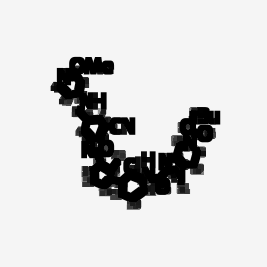 COc1cc(NCc2cc(C#N)c3oc(-c4cccc(-c5cccc(NC(=O)c6nc7c(n6C)CCN(C(=O)OC(C)(C)C)C7)c5Cl)c4C)nc3c2)ccn1